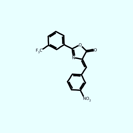 O=C1OC(c2cccc(C(F)(F)F)c2)=N/C1=C\c1cccc([N+](=O)[O-])c1